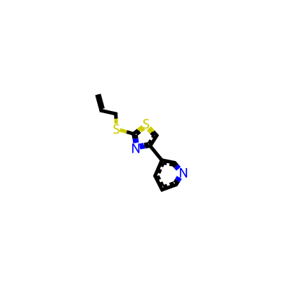 C=CCSc1nc(-c2cccnc2)cs1